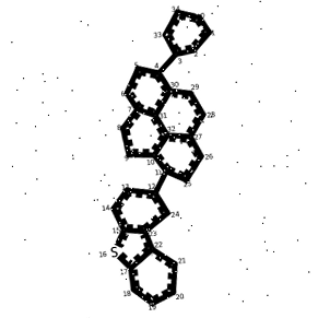 c1ccc(-c2ccc3ccc4c(-c5ccc6sc7ccccc7c6c5)ccc5ccc2c3c54)cc1